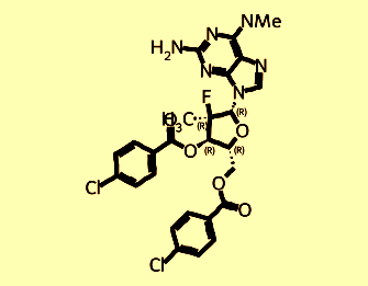 CNc1nc(N)nc2c1ncn2[C@@H]1O[C@H](COC(=O)c2ccc(Cl)cc2)[C@@H](OC(=O)c2ccc(Cl)cc2)[C@@]1(C)F